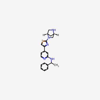 CC(Nc1cc(-c2csc(N3C[C@@H]4C[C@H]3CN4)n2)ccn1)c1ccccc1